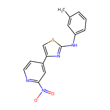 Cc1cccc(Nc2nc(-c3ccnc([N+](=O)[O-])c3)cs2)c1